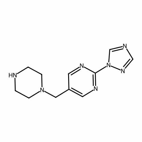 c1ncn(-c2ncc(CN3CCNCC3)cn2)n1